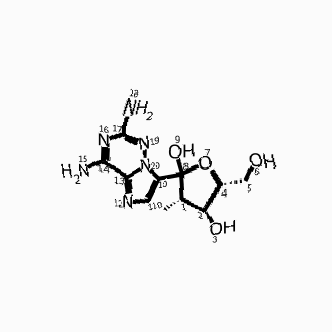 C[C@H]1[C@H](O)[C@@H](CO)OC1(O)c1cnc2c(N)nc(N)nn12